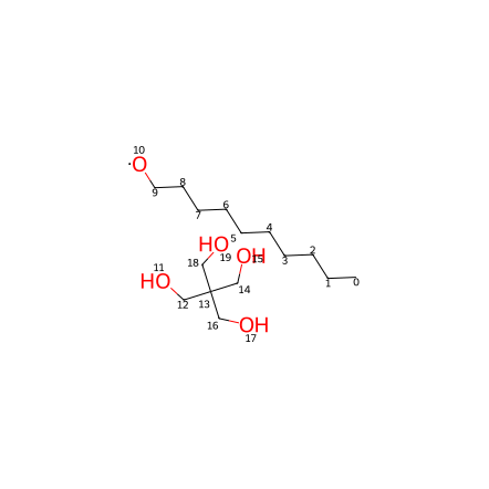 CCCCCCCCCC[O].OCC(CO)(CO)CO